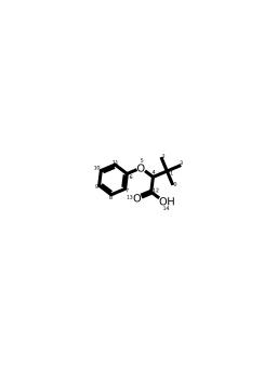 CC(C)(C)C(Oc1c[c]ccc1)C(=O)O